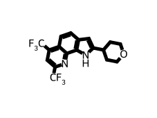 FC(F)(F)c1cc(C(F)(F)F)c2ccc3cc(C4CCOCC4)[nH]c3c2n1